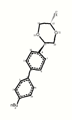 CCCCc1ccc(-c2ccc([C@@H]3CO[C@@H](CC)CO3)cc2)cc1